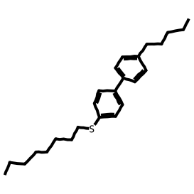 CCCCCCCCSc1ccc(-c2ccc(CCCCC)cc2)cc1